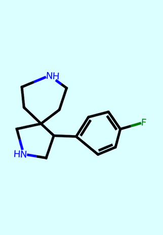 Fc1ccc(C2CNCC23CCNCC3)cc1